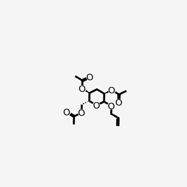 C=CCOC1O[C@H](COC(C)=O)[C@@H](OC(C)=O)C[C@H]1OC(C)=O